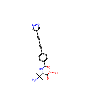 CC(C)(N)[C@H](NC(=O)c1ccc(C#CC#Cc2cn[nH]c2)cc1)C(=O)OO